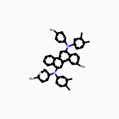 Cc1ccc(N(c2ccc(C(C)(C)C)cc2)c2cc3c4cc(C(C)(C)C)ccc4c(N(c4ccc(C(C)(C)C)cc4)c4ccc(C)c(C)c4)cc3c3ccccc23)cc1C